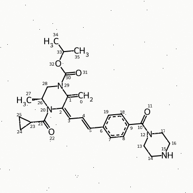 C=C1/C(=C\C=C\c2ccc(C(=O)N3CCNCC3)cc2)N(C(=O)C2CC2)[C@@H](C)CN1C(=O)OC(C)C